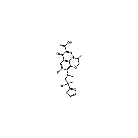 CN1COc2c(N3CCC(O)(c4nccs4)C3)c(F)cc3c(=O)c(C(=O)O)cn1c23